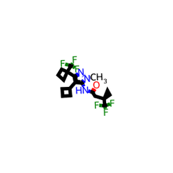 Cn1nc(C2(C(F)(F)F)CCC2)c(C2CCC2)c1NC(=O)CC1(C(F)(F)F)CC1